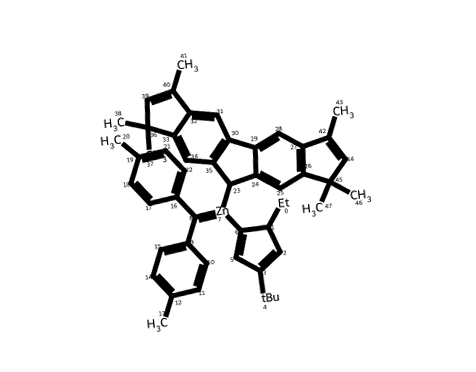 CCC1C=C(C(C)(C)C)C=[C]1[Zn](=[C](c1ccc(C)cc1)c1ccc(C)cc1)[CH]1c2cc3c(cc2-c2cc4c(cc21)C(C)(C)C=C4C)C(C)=CC3(C)C